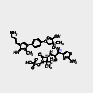 Cn1c(-c2ccc(OC[C@](C)(O/N=C(\C(=O)N[C@@H]3C(=O)N(OS(=O)(=O)O)C3(C)C)c3csc(N)n3)C(=O)O)cc2)cn(CCCN)c1=N